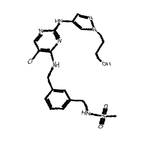 CS(=O)(=O)NCc1cccc(CNc2nc(Nc3cnn(CCO)c3)ncc2Cl)c1